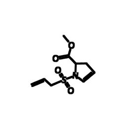 C=CCS(=O)(=O)N1C=CCC1C(=O)OC